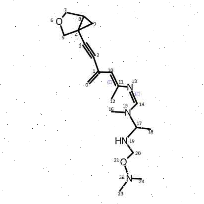 C=C(C#CC12COCC1C2)/C=C(C)/N=C\N(C)C(C)NCON(C)C